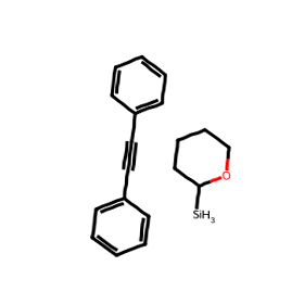 C(#Cc1ccccc1)c1ccccc1.[SiH3]C1CCCCO1